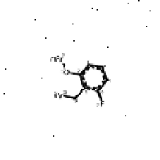 CCCOc1cccc(F)c1CC(C)C